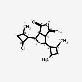 CC1CC(C)C1C1OC(C2C(C)CC2C)C2C(=O)OC(=O)C12